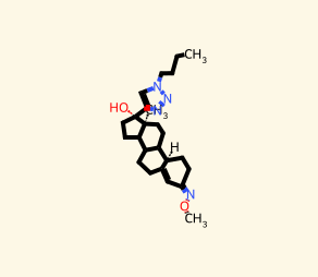 CCCCn1cc([C@]2(O)CCC3C4CCC5=C/C(=N\OC)CC[C@@H]5C4CC[C@@]32C)nn1